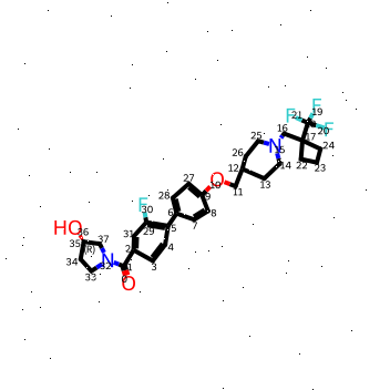 O=C(c1ccc(-c2ccc(OCC3CCN(CC4(C(F)(F)F)CCC4)CC3)cc2)c(F)c1)N1CC[C@@H](O)C1